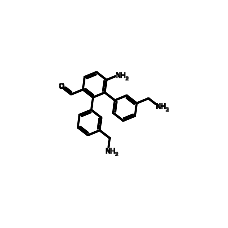 NCc1cccc(-c2c(N)ccc(C=O)c2-c2cccc(CN)c2)c1